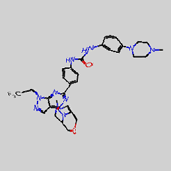 CN1CCN(c2ccc(NC(=O)Nc3ccc(-c4nc(N5C6COCC5CN(C)C6)c5cnn(CC(F)(F)F)c5n4)cc3)cc2)CC1